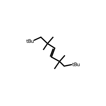 CC(C)(C)CC(C)(C)C=CC(C)(C)CC(C)(C)C